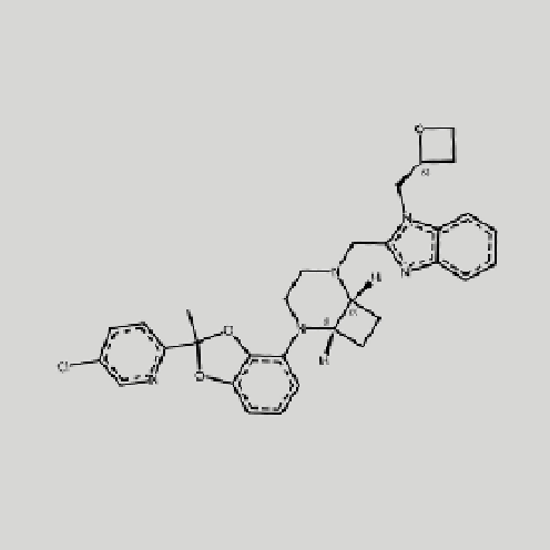 CC1(c2ccc(Cl)cn2)Oc2cccc(N3CCN(Cc4nc5ccccc5n4C[C@@H]4CCO4)[C@@H]4CC[C@@H]43)c2O1